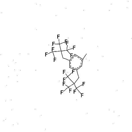 Cc1cc(CC(C(F)(F)F)(C(F)(F)F)C(F)(F)F)cc(CC(C(F)(F)F)(C(F)(F)F)C(F)(F)F)c1